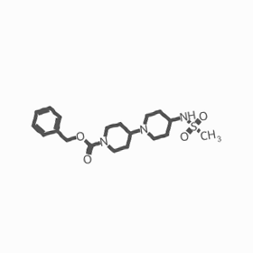 CS(=O)(=O)NC1CCN(C2CCN(C(=O)OCc3ccccc3)CC2)CC1